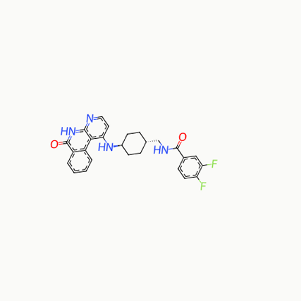 O=C(NC[C@H]1CC[C@H](Nc2ccnc3[nH]c(=O)c4ccccc4c23)CC1)c1ccc(F)c(F)c1